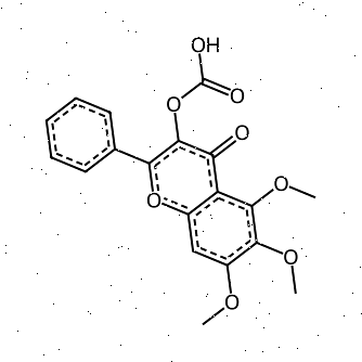 COc1cc2oc(-c3ccccc3)c(OC(=O)O)c(=O)c2c(OC)c1OC